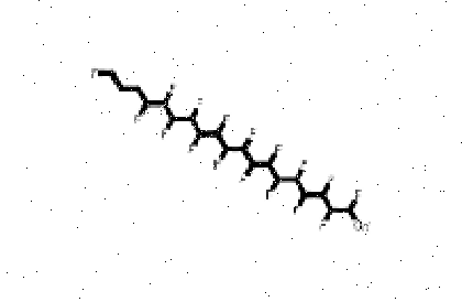 OC(F)C(F)C(F)C(F)C(F)C(F)C(F)C(F)C(F)C(F)C(F)C(F)C(F)C(F)C(F)C(F)CCCF